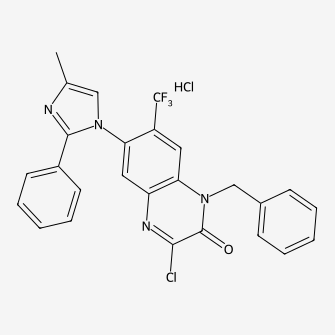 Cc1cn(-c2cc3nc(Cl)c(=O)n(Cc4ccccc4)c3cc2C(F)(F)F)c(-c2ccccc2)n1.Cl